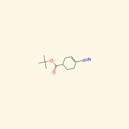 CC(C)(C)OC(=O)C1CC=C(C#N)CC1